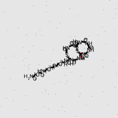 NC(=O)COCC(=O)NCCOCCOCCOCCNC(=O)C1CSCC(=O)NCC(=O)N[C@H]2SSC[C@H](NC(=O)CNC(=O)CNC(=O)CNC2=O)C(=O)NCC(=O)N1